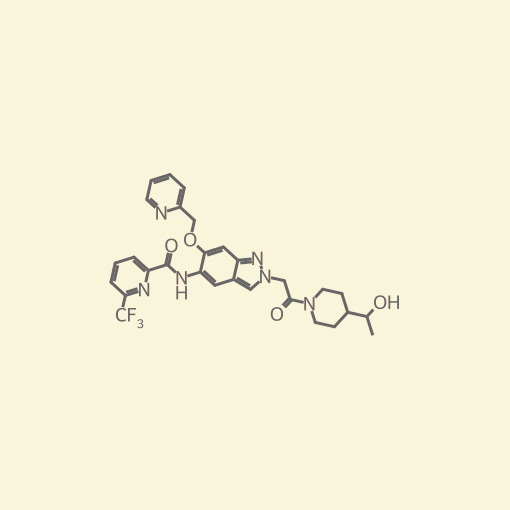 CC(O)C1CCN(C(=O)Cn2cc3cc(NC(=O)c4cccc(C(F)(F)F)n4)c(OCc4ccccn4)cc3n2)CC1